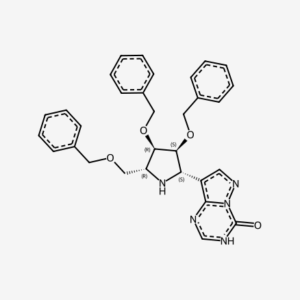 O=c1[nH]cnc2c([C@@H]3N[C@H](COCc4ccccc4)[C@@H](OCc4ccccc4)[C@H]3OCc3ccccc3)cnn12